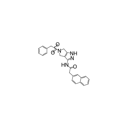 O=C(Cc1ccc2ccccc2c1)Nc1n[nH]c2c1CN(S(=O)(=O)Cc1ccccc1)C2